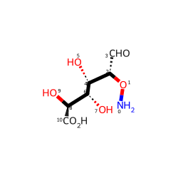 NO[C@@H](C=O)[C@@H](O)[C@H](O)[C@H](O)C(=O)O